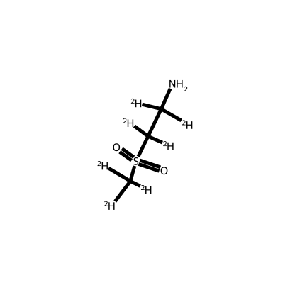 [2H]C([2H])(N)C([2H])([2H])S(=O)(=O)C([2H])([2H])[2H]